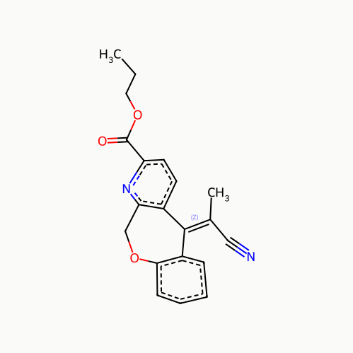 CCCOC(=O)c1ccc2c(n1)COc1ccccc1/C2=C(/C)C#N